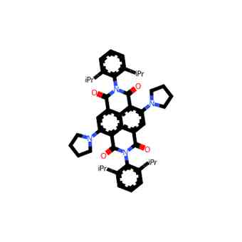 CC(C)c1cccc(C(C)C)c1N1C(=O)c2cc(N3CCCC3)c3c4c(cc(N5CCCC5)c(c24)C1=O)C(=O)N(c1c(C(C)C)cccc1C(C)C)C3=O